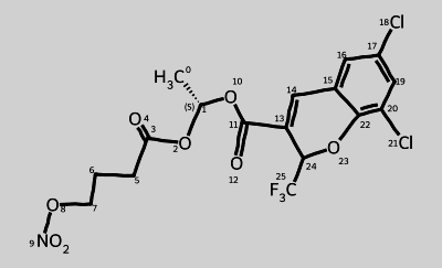 C[C@@H](OC(=O)CCCO[N+](=O)[O-])OC(=O)C1=Cc2cc(Cl)cc(Cl)c2OC1C(F)(F)F